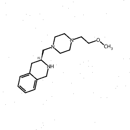 COCCN1CCN(C[C@@H]2Cc3ccccc3CN2)CC1